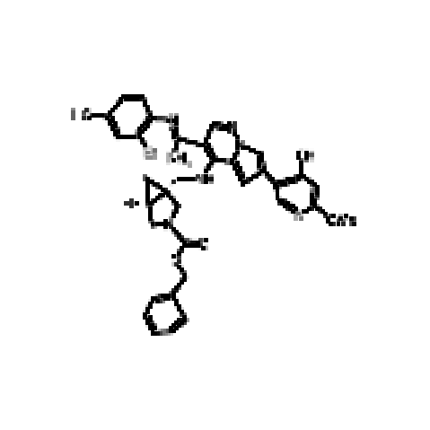 CCc1cc(O)ccc1/N=C(\N)c1cnn2cc(-c3cnc(OC)cc3C)cc2c1NC[C@@]12C[C@@H]1CN(C(=O)OCc1ccccc1)C2